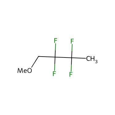 COCC(F)(F)C(C)(F)F